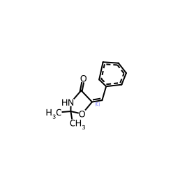 CC1(C)NC(=O)/C(=C\c2ccccc2)O1